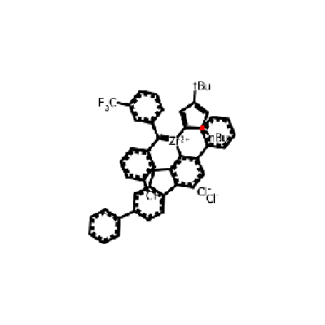 CCCCC1C=C(C(C)(C)C)C=[C]1[Zr+2](=[C](c1cccc(C(F)(F)F)c1)c1cccc(C(F)(F)F)c1)[c]1c(-c2ccccc2)ccc2c1Cc1cc(-c3ccccc3)ccc1-2.[Cl-].[Cl-]